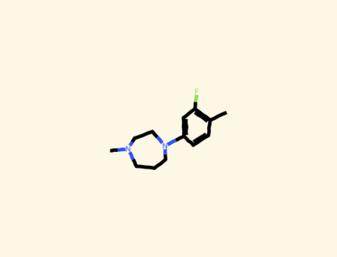 Cc1ccc(N2CCCN(C)CC2)cc1F